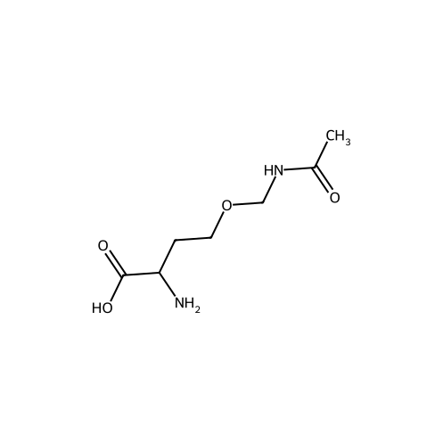 CC(=O)NCOCCC(N)C(=O)O